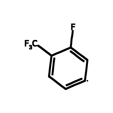 Fc1c[c]ccc1C(F)(F)F